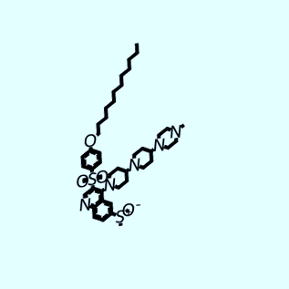 CCCCCCCCCCCCOc1ccc(S(=O)(=O)c2cnc3ccc([S+](C)[O-])cc3c2N2CCC(N3CCC(N4CCN(C)CC4)CC3)CC2)cc1